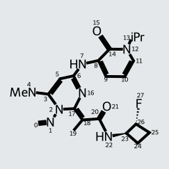 C=NN1C(NC)=CC(Nc2cccn(C(C)C)c2=O)=N/C1=C(/C)C(=O)N[C@@H]1CC[C@H]1F